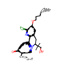 COCCCOc1cc2c(nc1Cl)-c1cc(=O)c(C(=O)O)cn1C(C(C)(C)CO)C2